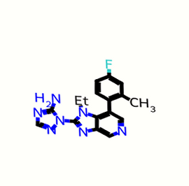 CCn1c(-n2ncnc2N)nc2cncc(-c3ccc(F)cc3C)c21